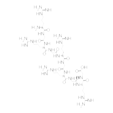 N=C(N)NCCC[C@H](NC(=O)CNC(=O)[C@H](CCCNC(=N)N)NC(=O)CNC(=O)[C@H](CCCNC(=N)N)NC(=O)CNC(=O)[C@H](CCCNC(=N)N)NC(=O)CNC(=O)[C@@H](N)CCCNC(=N)N)C(=O)NCC(=O)O